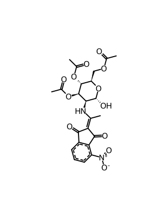 CC(=O)OC[C@H]1O[C@H](O)[C@@H](NC(C)=C2C(=O)c3cccc([N+](=O)[O-])c3C2=O)[C@@H](OC(C)=O)[C@@H]1OC(C)=O